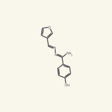 N/C(=N\N=C\c1ccoc1)c1ccc(O)cc1